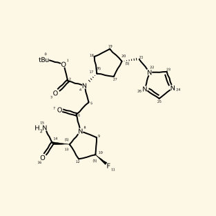 CC(C)(C)OC(=O)N(CC(=O)N1C[C@@H](F)C[C@H]1C(N)=O)[C@@H]1CC[C@H](Cn2cncn2)C1